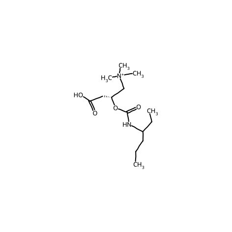 CCCC(CC)NC(=O)O[C@H](CC(=O)O)C[N+](C)(C)C